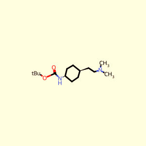 CN(C)CC[C@H]1CC[C@H](NC(=O)OC(C)(C)C)CC1